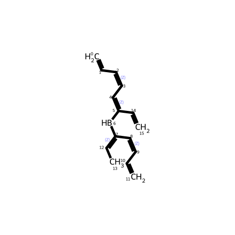 C=C/C=C\C=C(\BC(/C=C\C=C)=C/C)C=C